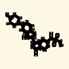 C=CS(=O)(=O)Nc1cnc2[nH]nc(-c3nc4ccc(N5CCN(C)CC5)cc4[nH]3)c2c1